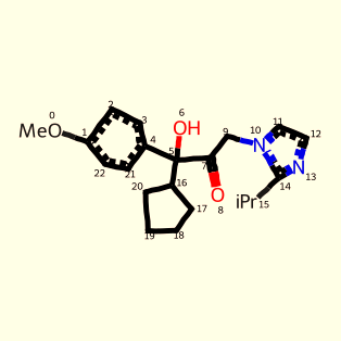 COc1ccc(C(O)(C(=O)Cn2ccnc2C(C)C)C2CCCC2)cc1